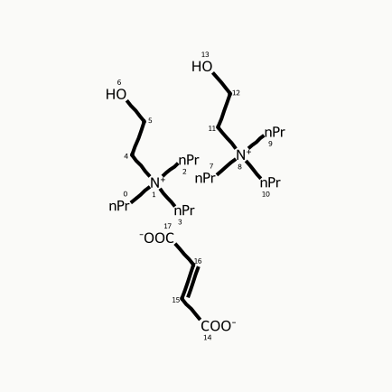 CCC[N+](CCC)(CCC)CCO.CCC[N+](CCC)(CCC)CCO.O=C([O-])C=CC(=O)[O-]